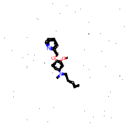 CCCCCN(C)c1ccc(OCc2ccccn2)c(OC)c1